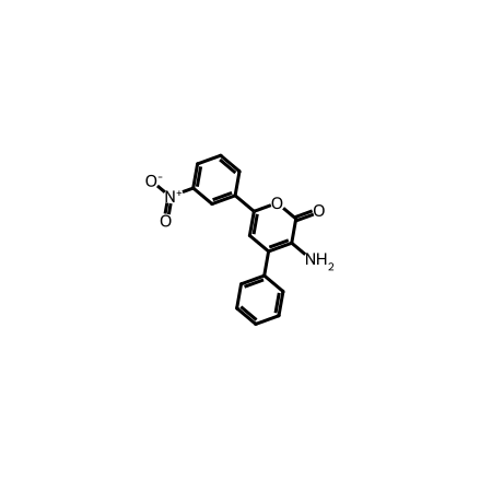 Nc1c(-c2ccccc2)cc(-c2cccc([N+](=O)[O-])c2)oc1=O